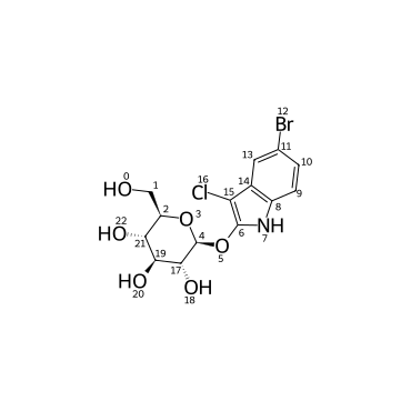 OC[C@H]1O[C@@H](Oc2[nH]c3ccc(Br)cc3c2Cl)[C@H](O)[C@@H](O)[C@@H]1O